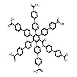 O=C(O)c1ccc(-c2ccc(OC(=O)c3c(-c4ccc(-c5ccc(C(=O)O)cc5)cc4)c(-c4ccc(-c5ccc(C(=O)O)cc5)cc4)c(-c4ccc(-c5ccc(C(=O)O)cc5)cc4)c(-c4ccc(-c5ccc(C(=O)O)cc5)cc4)c3-c3ccc(-c4ccc(C(=O)O)cc4)cc3)cc2)cc1